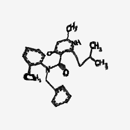 Cc1cc(=O)c(C(=O)N(Cc2ccccc2)c2ccccc2C)c(CC(C)C)[nH]1